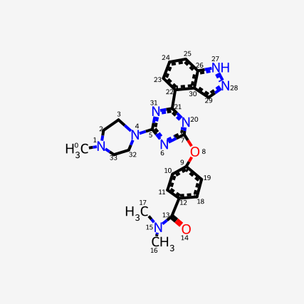 CN1CCN(c2nc(Oc3ccc(C(=O)N(C)C)cc3)nc(-c3cccc4[nH]ncc34)n2)CC1